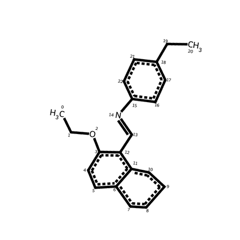 CCOc1ccc2ccccc2c1/C=N/c1ccc(CC)cc1